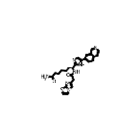 NC(=O)CCCCC[C@H](NC(=O)Cc1cn2ccsc2n1)c1ncc(-c2ccc3ccncc3c2)[nH]1